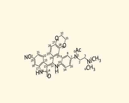 CC(=O)N(CCN(C)C)c1ccc(N/C(=C2\C(=O)Nc3cc(C#N)ccc32)c2ccc3c(c2)OCCO3)cc1